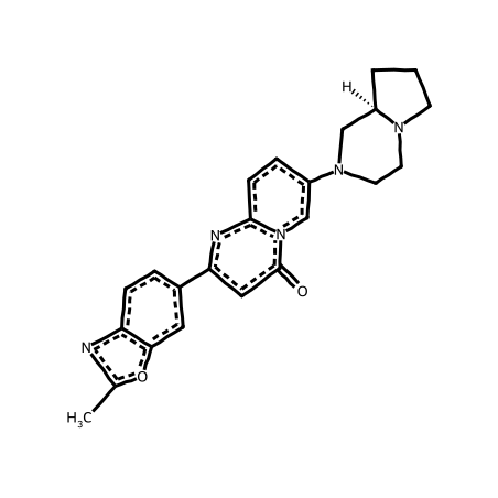 Cc1nc2ccc(-c3cc(=O)n4cc(N5CCN6CCC[C@@H]6C5)ccc4n3)cc2o1